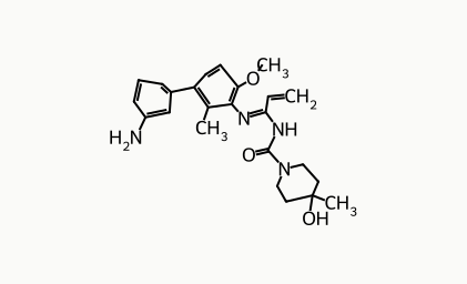 C=C/C(=N\c1c(OC)ccc(-c2cccc(N)c2)c1C)NC(=O)N1CCC(C)(O)CC1